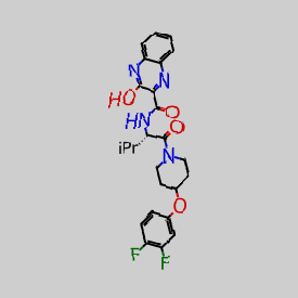 CC(C)[C@H](NC(=O)c1nc2ccccc2nc1O)C(=O)N1CCC(Oc2ccc(F)c(F)c2)CC1